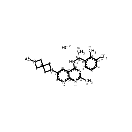 CC(=O)N1CC2(C1)CN(c1cnc3nc(C)nc(N[C@H](C)c4cccc(C(F)(F)F)c4C)c3c1)C2.Cl